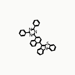 c1ccc(-c2nc(-c3ccccc3)nc(-c3ccc(-c4c5ccccc5n5c4sc4ccccc45)c4ccccc34)n2)cc1